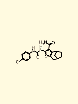 NC(=O)c1c(NC(=O)Nc2ccc(Cl)cc2)sc2c1C1CCC(C2)C1